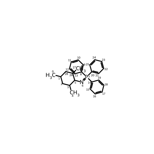 CC1CC(C)C(N=P(c2ccccc2)(c2ccccc2)c2ccccc2)C(C)C1